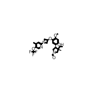 COc1ccc([C@@H]2CN(C=O)C[C@@]2(C)C(C)O)cc1OC1CN(c2cc(C)c(OC(F)(F)F)cn2)C1